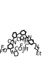 CCC1CN(Cc2cc(C(F)(F)F)c3oc(-c4cccc(-c5cccc(-c6nc7cc(CN8CCC[C@H]8C(=O)O)c(OC(F)F)cc7o6)c5C)c4C)nc3c2)C1